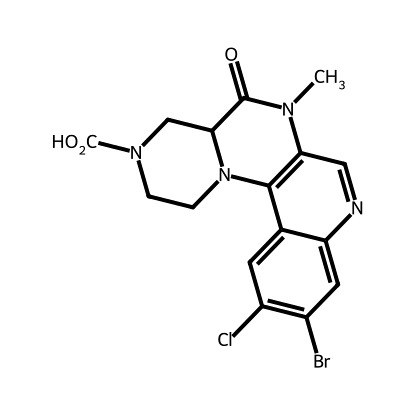 CN1C(=O)C2CN(C(=O)O)CCN2c2c1cnc1cc(Br)c(Cl)cc21